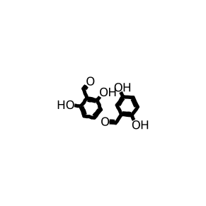 O=Cc1c(O)cccc1O.O=Cc1cc(O)ccc1O